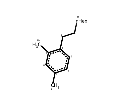 CCCCCCC[CH]c1ccc(C)cc1C